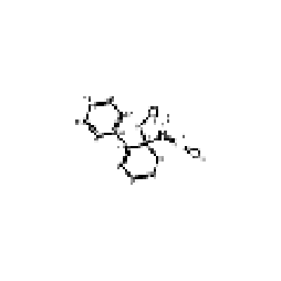 CCC1(N=C=O)CC=CC=C1c1ccccc1